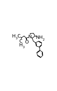 CC(C)CC(=O)N1CCC(N)C1Cc1cccc(-c2ccccc2)c1